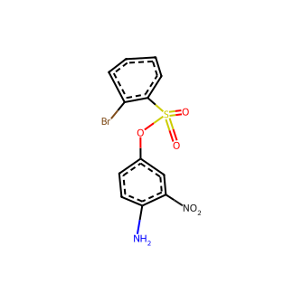 Nc1ccc(OS(=O)(=O)c2ccccc2Br)cc1[N+](=O)[O-]